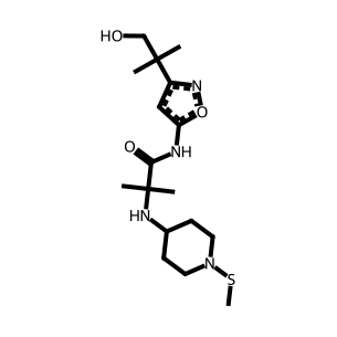 CSN1CCC(NC(C)(C)C(=O)Nc2cc(C(C)(C)CO)no2)CC1